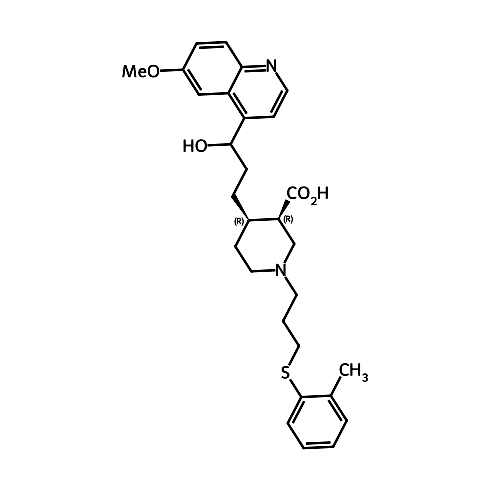 COc1ccc2nccc(C(O)CC[C@@H]3CCN(CCCSc4ccccc4C)C[C@@H]3C(=O)O)c2c1